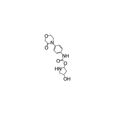 O=C(Nc1ccc(N2CCOCC2=O)cc1)OC1CC(O)CN1